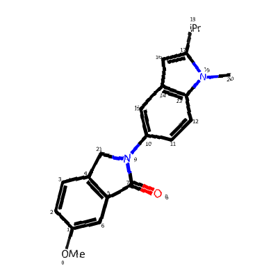 COc1ccc2c(c1)C(=O)N(c1ccc3c(c1)cc(C(C)C)n3C)C2